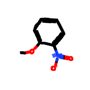 COc1ccccc1[15N+](=O)[O-]